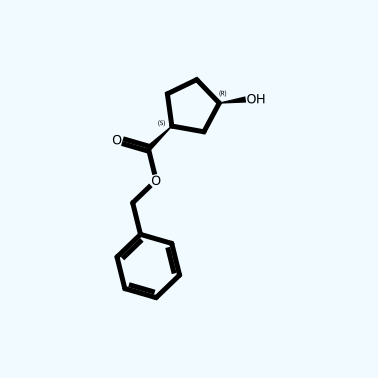 O=C(OCc1ccccc1)[C@H]1CC[C@@H](O)C1